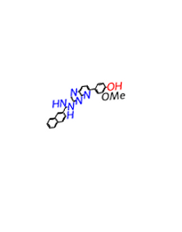 COc1cc(-c2ccc3ncc(NC(=N)c4ccc5ccccc5c4)nc3n2)ccc1O